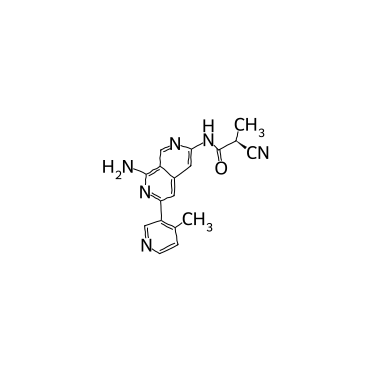 Cc1ccncc1-c1cc2cc(NC(=O)[C@@H](C)C#N)ncc2c(N)n1